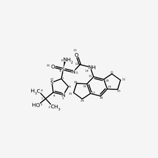 CC(C)(O)C1=NCC([S@](N)(=O)=NC(=O)Nc2c3c(cc4c2CCC4)CCC3)S1